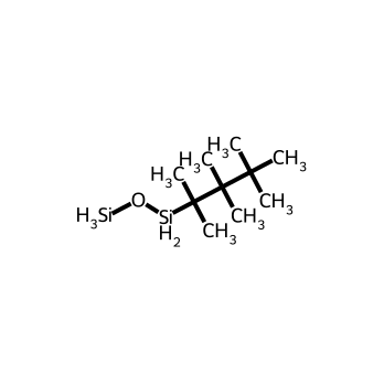 CC(C)(C)C(C)(C)C(C)(C)[SiH2]O[SiH3]